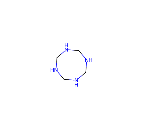 C1NCNCNCN1